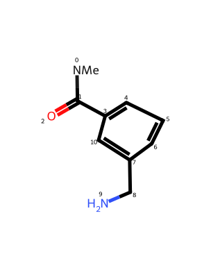 CNC(=O)c1cccc(CN)c1